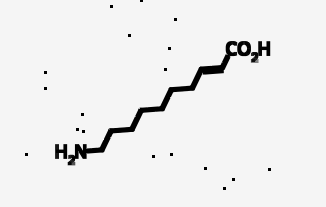 NCCCCCCCC=CC(=O)O